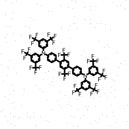 FC(F)(F)c1cc(N(c2ccc(-c3cc(C(F)(F)F)c(-c4ccc(N(c5cc(C(F)(F)F)cc(C(F)(F)F)c5)c5cc(C(F)(F)F)cc(C(F)(F)F)c5)cc4)cc3C(F)(F)F)cc2)c2cc(C(F)(F)F)cc(C(F)(F)F)c2)cc(C(F)(F)F)c1